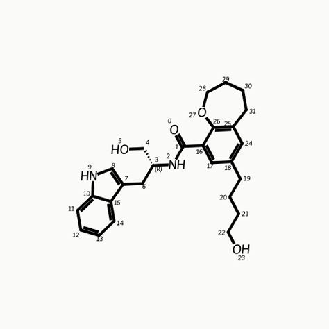 O=C(N[C@@H](CO)Cc1c[nH]c2ccccc12)c1cc(CCCCO)cc2c1OCCCC2